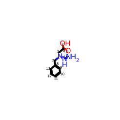 NNN(CC(=O)O)Cc1ccccc1